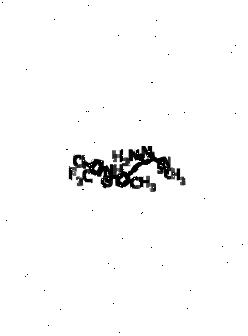 Cc1ncc(-c2cnc(N)c(C#Cc3cc(C(=O)Nc4ccc(Cl)c(C(F)(F)F)c4)ccc3C)c2)s1